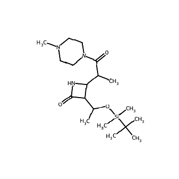 CC(O[Si](C)(C)C(C)(C)C)C1C(=O)NC1C(C)C(=O)N1CCN(C)CC1